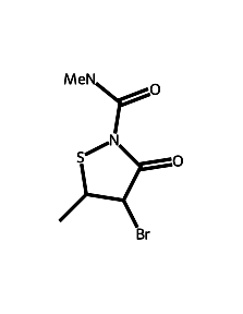 CNC(=O)N1SC(C)C(Br)C1=O